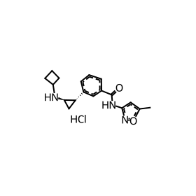 Cc1cc(NC(=O)c2cccc([C@@H]3C[C@H]3NC3CCC3)c2)no1.Cl